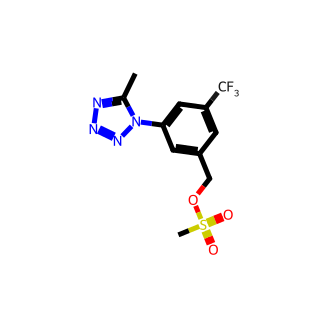 Cc1nnnn1-c1cc(COS(C)(=O)=O)cc(C(F)(F)F)c1